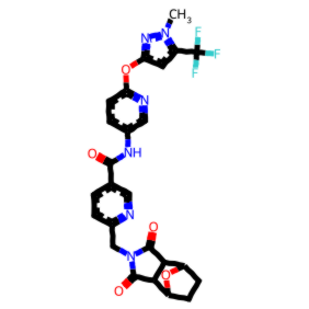 Cn1nc(Oc2ccc(NC(=O)c3ccc(CN4C(=O)C5C6CCC(O6)C5C4=O)nc3)cn2)cc1C(F)(F)F